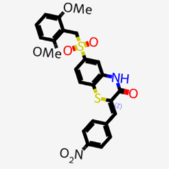 COc1cccc(OC)c1CS(=O)(=O)c1ccc2c(c1)NC(=O)/C(=C/c1ccc([N+](=O)[O-])cc1)S2